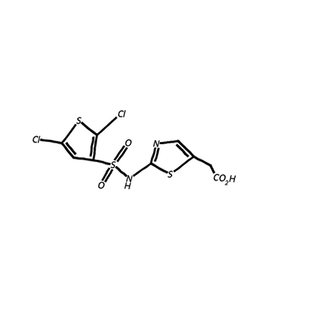 O=C(O)Cc1cnc(NS(=O)(=O)c2cc(Cl)sc2Cl)s1